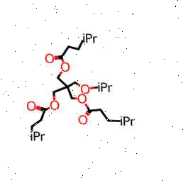 CC(C)CCC(=O)OCC(COC(=O)CCC(C)C)(COC(=O)CCC(C)C)COC(C)C